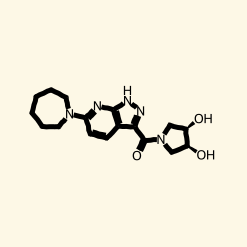 O=C(c1n[nH]c2nc(N3CCCCCC3)ccc12)N1C[C@@H](O)[C@@H](O)C1